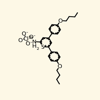 CCCCOc1ccc(-c2cc(N)[s+]c(-c3ccc(OCCCC)cc3)c2)cc1.[O-][Cl+3]([O-])([O-])[O-]